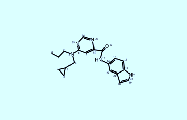 CCCN(CC1CC1)c1cc(C(=O)Nc2ccc3[nH]ccc3c2)ncn1